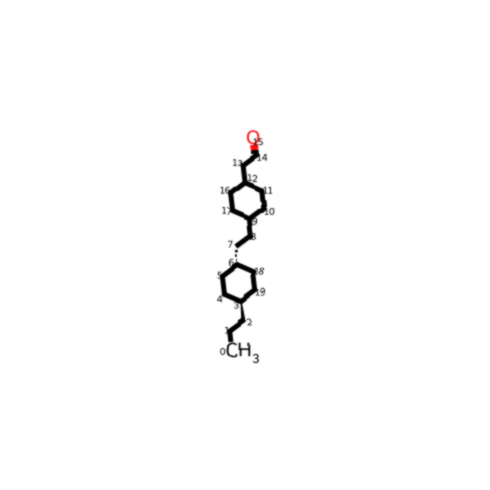 CCC[C@H]1CC[C@H](CCC2CCC(CC=O)CC2)CC1